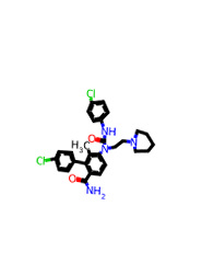 Cc1c(N(CCN2CCCCC2)C(=O)Nc2ccc(Cl)cc2)ccc(C(N)=O)c1-c1ccc(Cl)cc1